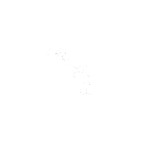 Cc1ccccc1CN1CCN(Cc2ccc3c(c2)c(Br)cn3CCCNC(=O)OC(C)(C)C)CC1